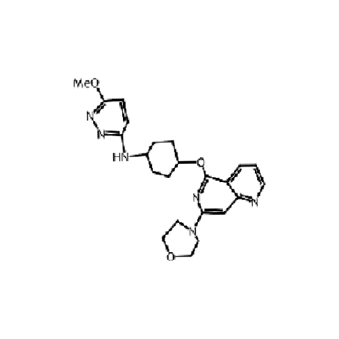 COc1ccc(NC2CCC(Oc3nc(N4CCOCC4)cc4ncccc34)CC2)nn1